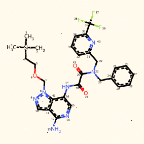 C[Si](C)(C)CCOCn1ncc2c(N)ncc(NC(=O)C(=O)N(Cc3ccccc3)Cc3cccc(C(F)(F)F)n3)c21